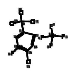 F[B-](F)(F)F.F[n+]1cc(C(Cl)(Cl)Cl)ccc1Cl